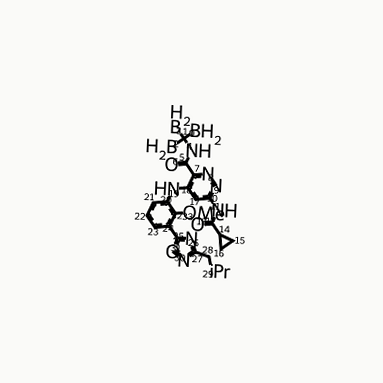 BC(B)(B)NC(=O)c1nnc(NC(=O)C2CC2)cc1Nc1cccc(-c2nc(CC(C)C)no2)c1OC